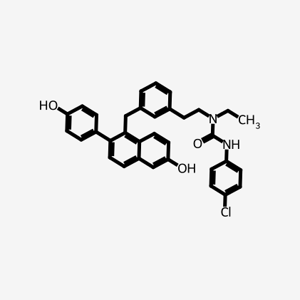 CCN(CCc1cccc(Cc2c(-c3ccc(O)cc3)ccc3cc(O)ccc23)c1)C(=O)Nc1ccc(Cl)cc1